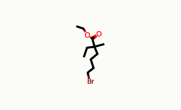 CCOC(=O)C(C)(CC)CCCCBr